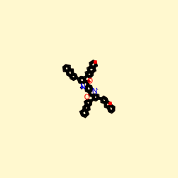 Cn1c2cc3c(=O)c4c(-c5ccc6cc7ccccc7cc6c5)cc(-c5ccc6cc7ccccc7cc6c5)cc4n(C)c3cc2c(=O)c2c(-c3ccc4cc5ccccc5cc4c3)cc(-c3ccc4cc5ccccc5cc4c3)cc21